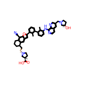 Cc1c(Nc2nccc3cc(CN4CC[C@@H](O)C4)cnc23)cccc1-c1cccc(-c2cc3cc4c(c(C#N)c3o2)CCCC4CSN2CC[C@@H](C(=O)O)C2)c1C